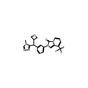 Cn1cnnc1C(c1cccc(-n2cc3c(C(F)(F)F)cccn3c2=O)c1)C1COC1